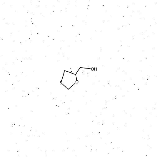 OC[C]1CSCO1